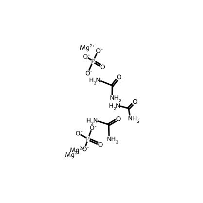 NC(N)=O.NC(N)=O.NC(N)=O.O=P([O-])([O-])[O-].O=P([O-])([O-])[O-].[Mg+2].[Mg+2].[Mg+2]